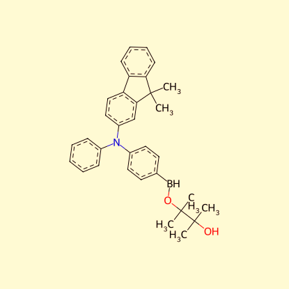 CC1(C)c2ccccc2-c2ccc(N(c3ccccc3)c3ccc(BOC(C)(C)C(C)(C)O)cc3)cc21